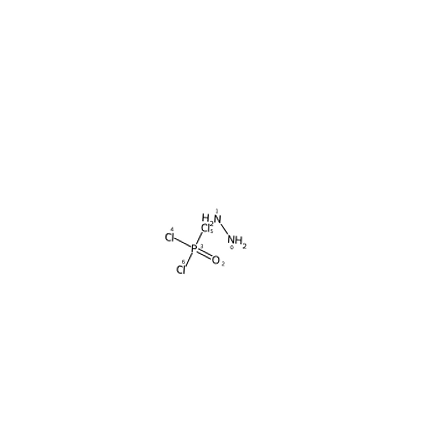 NN.O=P(Cl)(Cl)Cl